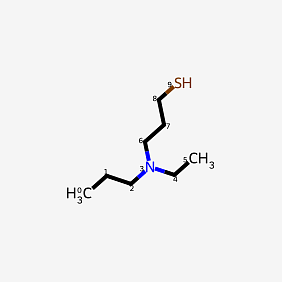 CCCN(CC)CCCS